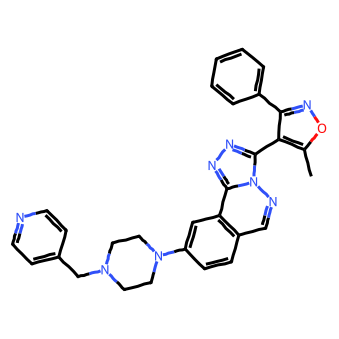 Cc1onc(-c2ccccc2)c1-c1nnc2c3cc(N4CCN(Cc5ccncc5)CC4)ccc3cnn12